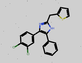 Clc1ccc(-c2nc(Cc3cccs3)[nH]c2-c2ccccc2)cc1Cl